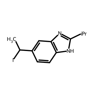 CC(C)c1nc2cc(C(C)I)ccc2[nH]1